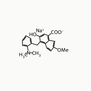 COc1ccc2c(Cc3ccccc3N(C)C)c(O)cc(C(=O)[O-])c2c1.[Na+]